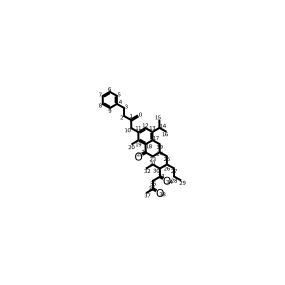 C=C(CCc1ccccc1)Cc1cc(C(C)C)c2c(c1C)C(=O)CC(CC(CCC)C(CC)C(=O)CC(C)=O)C2